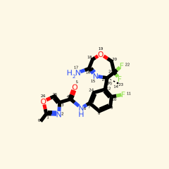 Cc1nc(C(=O)Nc2ccc(F)c([C@@]3(C)N=C(N)COCC3(F)F)c2)co1